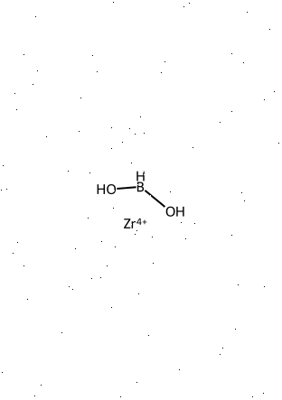 OBO.[Zr+4]